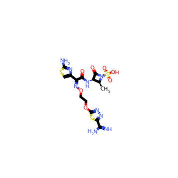 C[C@H]1[C@H](NC(=O)C(=NOCCOc2nnc(C(=N)N)s2)c2csc(N)n2)C(=O)N1S(=O)(=O)O